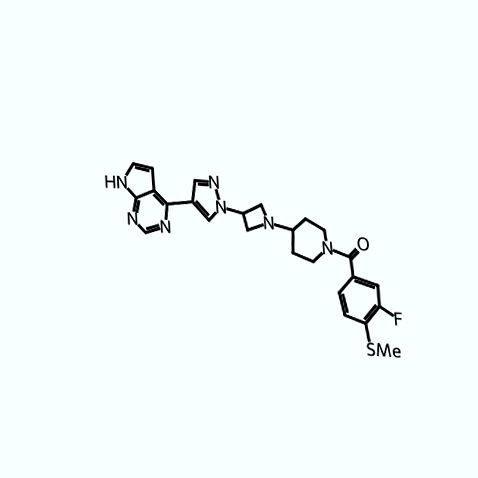 CSc1ccc(C(=O)N2CCC(N3CC(n4cc(-c5ncnc6[nH]ccc56)cn4)C3)CC2)cc1F